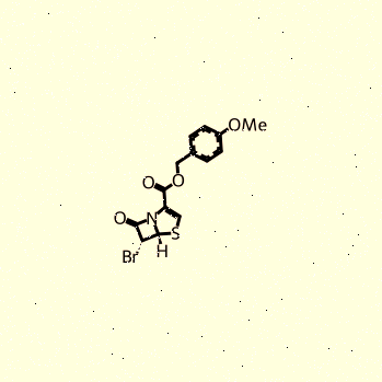 COc1ccc(COC(=O)C2=CS[C@@H]3[C@H](Br)C(=O)N23)cc1